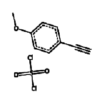 C#Cc1ccc(OC)cc1.O=S(=O)(Cl)Cl